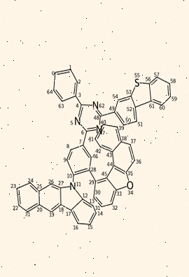 c1ccc(-c2nc(-c3ccc(-n4c5ccccc5c5cc6ccccc6cc54)c(-c4cccc5oc6ccc7ccccc7c6c45)c3)nc(-c3ccc4c(c3)sc3ccccc34)n2)cc1